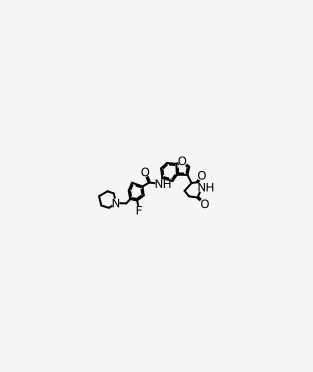 O=C1CCC(c2coc3ccc(NC(=O)c4ccc(CN5CCCCC5)c(F)c4)cc23)C(=O)N1